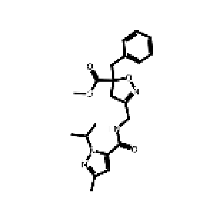 COC(=O)C1(Cc2ccccc2)CC(CNC(=O)c2cc(C)nn2C(C)C)=NO1